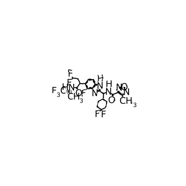 Cc1nonc1C(=O)NC(c1nc2c(F)c(C(CC(F)F)C(=O)N[C@H](C)C(F)(F)F)ccc2[nH]1)C1CCC(F)(F)CC1